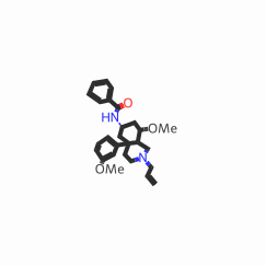 C=CCN1CCC2(c3cccc(OC)c3)C[C@H](NC(=O)c3ccccc3)CC(OC)C2C1